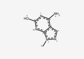 Cn1ncc2c(N)nc(O)nc21